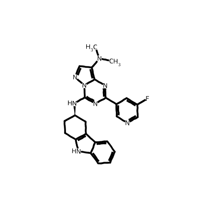 CN(C)c1cnn2c(N[C@@H]3CCc4[nH]c5ccccc5c4C3)nc(-c3cncc(F)c3)nc12